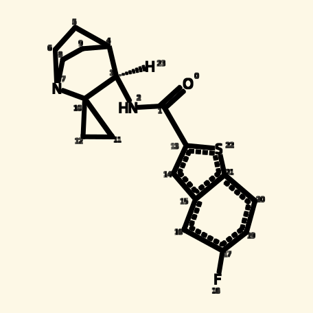 O=C(N[C@@H]1C2CCN(CC2)C12CC2)c1cc2cc(F)ccc2s1